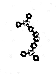 c1ccc(-c2nc(-c3ccccc3)nc(-c3ccc(-c4cnc5ncc(-c6ccc(-c7nc(-c8ccccc8)nc(-c8ccccc8)n7)cc6)cc5c4)cc3)n2)cc1